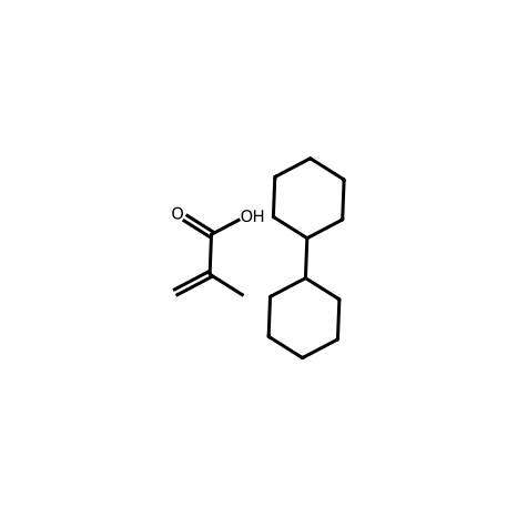 C1CCC(C2CCCCC2)CC1.C=C(C)C(=O)O